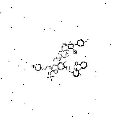 CCOC(=O)[C@@H](Cc1cc(CN(CCN2CCN(C)CC2)C(=O)OC(C)(C)C)ccc1OCc1ccnc(-c2ccccc2OC)n1)Oc1ncnc2sc(-c3ccc(F)cc3)c(Br)c12